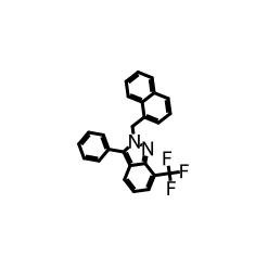 FC(F)(F)c1cccc2c(-c3ccccc3)n(Cc3cccc4ccccc34)nc12